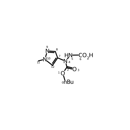 CCCCOC(=O)N(NC(=O)O)c1cnn(C)c1